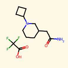 NC(=O)CC1CCCN(C2CCC2)C1.O=C(O)C(F)(F)F